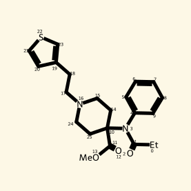 CCC(=O)N(c1ccccc1)C1(C(=O)OC)CCN(CCc2ccsc2)CC1